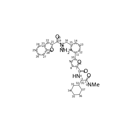 CNC(=O)[C@@H](NC(=O)c1ccc(-c2cccc(CN(N)C(=O)c3cc4ccccc4o3)c2)o1)C1CCCCC1